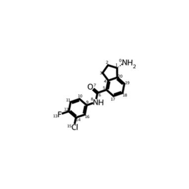 N[C@H]1CCc2c(C(=O)Nc3ccc(F)c(Cl)c3)cccc21